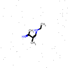 CCN/C=C(/C)C(C)=N